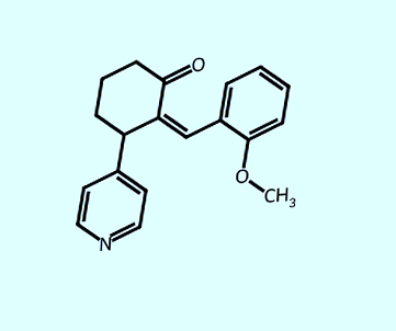 COc1ccccc1C=C1C(=O)CCCC1c1ccncc1